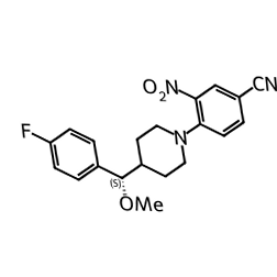 CO[C@H](c1ccc(F)cc1)C1CCN(c2ccc(C#N)cc2[N+](=O)[O-])CC1